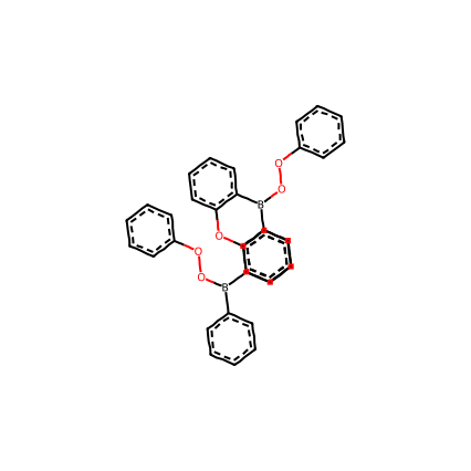 c1ccc(OOB(c2ccccc2)c2ccccc2Oc2ccccc2B(OOc2ccccc2)c2ccccc2)cc1